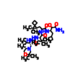 CC(C)[C@@H](CN1CCOC(C)(C)C1)NC(=O)N[C@H](C(=O)N1C[C@]2(C[C@H]1C(=O)NC(CC1CCC1)C(=O)C(N)=O)C(C)(C)C21CCC1)C(C)(C)C